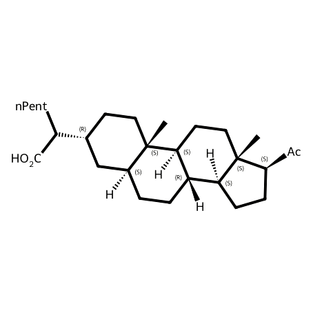 CCCCCC(C(=O)O)[C@@H]1CC[C@@]2(C)[C@@H](CC[C@@H]3[C@@H]2CC[C@]2(C)[C@@H](C(C)=O)CC[C@@H]32)C1